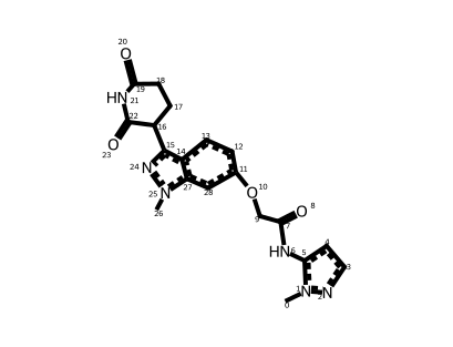 Cn1nccc1NC(=O)COc1ccc2c(C3CCC(=O)NC3=O)nn(C)c2c1